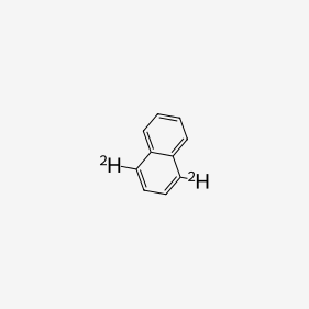 [2H]c1ccc([2H])c2ccccc12